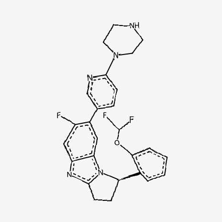 Fc1cc2nc3n(c2cc1-c1ccc(N2CCNCC2)nc1)[C@@H](c1ccccc1OC(F)F)CC3